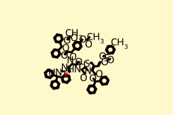 CC(=O)Oc1ccc([C@@H](O/N=C(\C(=O)N[C@@H]2C(=O)N3C(C(=O)OC(c4ccccc4)c4ccccc4)=C(/C=C/OS(=O)(=O)c4ccc(C)cc4)CS[C@@H]23)c2csc(NC(c3ccccc3)(c3ccccc3)c3ccccc3)n2)C(=O)OC(c2ccccc2)c2ccccc2)cc1OC(C)=O